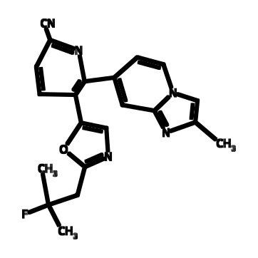 Cc1cn2ccc(-c3nc(C#N)ccc3-c3cnc(CC(C)(C)F)o3)cc2n1